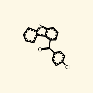 O=C(c1ccc(Cl)cc1)c1cccc2sc3ccccc3c12